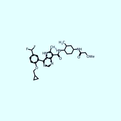 COCC(=O)NC1CCC(NC(=O)c2c(C)[nH]c3c(-c4cc(C(F)F)ccc4OCC4CC4)ncnc23)C(C)C1